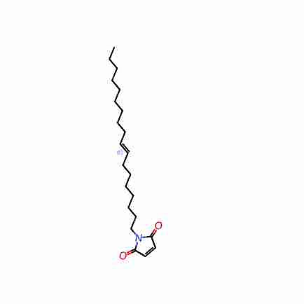 CCCCCCCCC/C=C/CCCCCCCN1C(=O)C=CC1=O